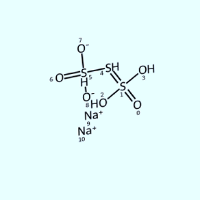 O=S(O)(O)=[SH][SH](=O)([O-])[O-].[Na+].[Na+]